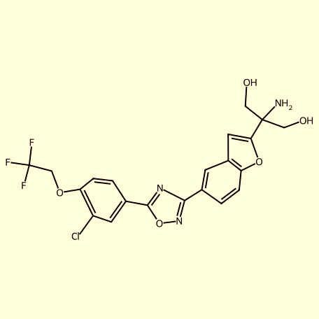 NC(CO)(CO)c1cc2cc(-c3noc(-c4ccc(OCC(F)(F)F)c(Cl)c4)n3)ccc2o1